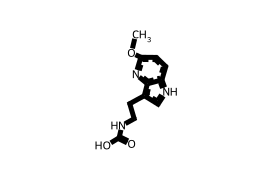 COc1ccc2[nH]cc(CCNC(=O)O)c2n1